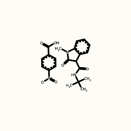 CN1C(=O)C(C(=O)NC(C)(C)C)c2ccccc21.O=C(O)c1ccc([N+](=O)[O-])cc1